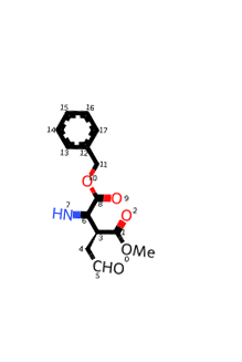 COC(=O)[C@@H](CC=O)C(=N)C(=O)OCc1ccccc1